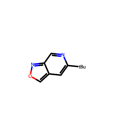 CC(C)(C)c1cc2conc2cn1